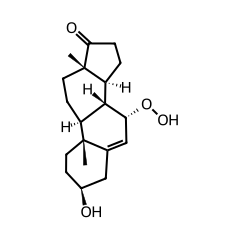 C[C@]12CC[C@H](O)CC1=C[C@@H](OO)[C@@H]1[C@@H]2CC[C@]2(C)C(=O)CC[C@@H]12